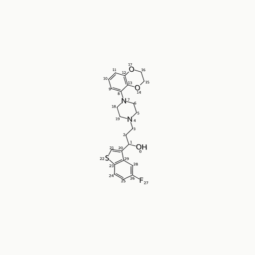 OC(CCN1CCN(c2cccc3c2OCCO3)CC1)c1csc2ccc(F)cc12